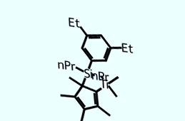 CCC[Si](CCC)(c1cc(CC)cc(CC)c1)C1(C)C(C)=C(C)C(C)=[C]1[Ti]([CH3])([CH3])[CH3]